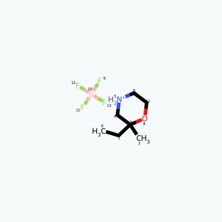 CCC1(C)C[NH2+]CCO1.F[B-](F)(F)F